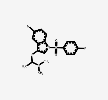 CC(Sc1cn(S(=O)(=O)c2ccc(F)cc2)c2ccc(Br)cc12)N(C)C